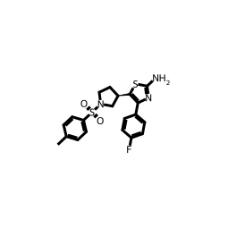 Cc1ccc(S(=O)(=O)N2CC[C@@H](c3sc(N)nc3-c3ccc(F)cc3)C2)cc1